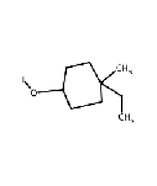 CCC1(C)CCC(OI)CC1